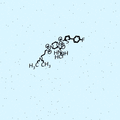 CCN(CC)CCCS(=O)(=O)N1CCN(S(=O)(=O)c2ccc(-c3ccc(F)cc3)s2)[C@@H](C(=O)NO)C1.Cl